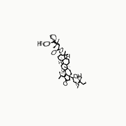 CCC(=O)N(C)C[C@H](O)[C@@]12CC[C@]3(C)[C@H](CC[C@@H]4[C@@]5(C)CC[C@H](OC(=O)CC(C)(C)C(=O)O)C(C)(C)[C@@H]5CC[C@]43C)C1=C(C(C)C)C(=O)C2